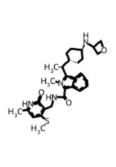 CSc1cc(C)[nH]c(=O)c1CNC(=O)c1c2ccccc2c([C@H](C)[C@H]2CC[C@H](NC3COC3)CC2)n1C